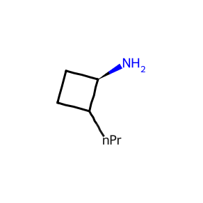 CCCC1CC[C@H]1N